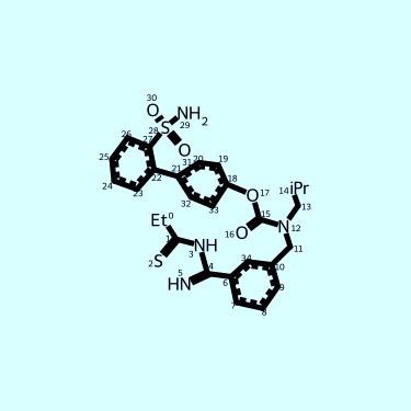 CCC(=S)NC(=N)c1cccc(CN(CC(C)C)C(=O)Oc2ccc(-c3ccccc3S(N)(=O)=O)cc2)c1